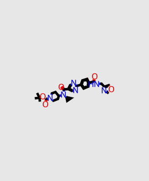 CC(C)(C)OC(=O)N1CCC(N(C(=O)c2cnc(-c3ccc(C(=O)NCc4cocn4)cc3)nc2)C2CC2)CC1